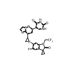 O=C1N(CC(F)(F)F)c2cc([C@H]3CC3c3cc(-c4c[nH]c(=O)[nH]c4=O)nn4ccnc34)c(F)cc2C12CC2